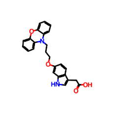 O=C(O)Cc1c[nH]c2cc(OCCCN3c4ccccc4Oc4ccccc43)ccc12